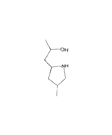 CC(O)CC1CC(C)CN1